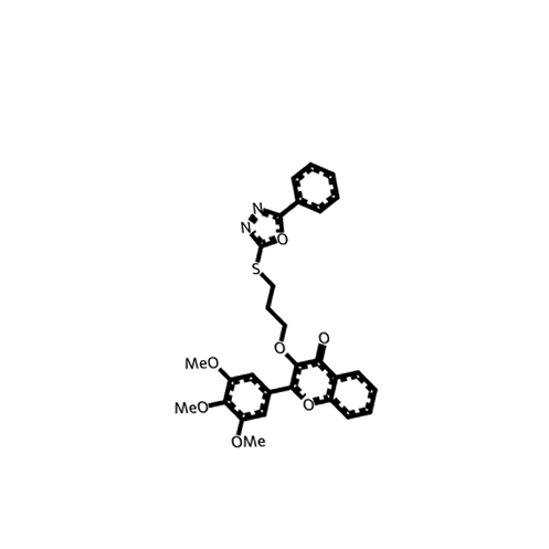 COc1cc(-c2oc3ccccc3c(=O)c2OCCCSc2nnc(-c3ccccc3)o2)cc(OC)c1OC